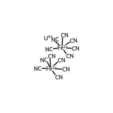 N#[C][Fe-2]([C]#N)([C]#N)([C]#N)([C]#N)[C]#N.N#[C][Fe-2]([C]#N)([C]#N)([C]#N)([C]#N)[C]#N.[U+4]